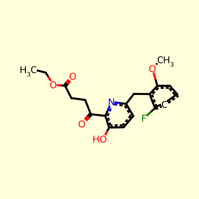 CCOC(=O)CCC(=O)c1nc(Cc2c(F)cccc2OC)ccc1O